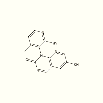 Cc1ccnc(C(C)C)c1-n1c(=O)ncc2cc(C#N)cnc21